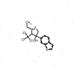 CCNC(C(Cl)(Cl)Cl)C(O)(CF)c1ccc2ccsc2c1